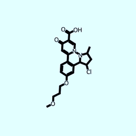 COCCCOc1ccc2c(c1)C1C(Cl)CC(C)N1n1cc(C(=O)O)c(=O)cc1-2